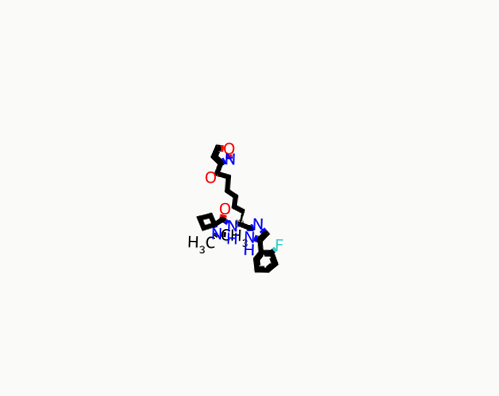 CN(C)C1(C(=O)N[C@@H](CCCCCC(=O)c2ccon2)c2ncc(-c3ccccc3F)[nH]2)CCC1